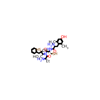 CCC(N)C(=O)N(C(=O)[C@@H](CS)NC(=O)[C@@H](N)Cc1c(C)cc(O)cc1C)[C@@H](C(=O)O)C(C)(S)Cc1ccccc1